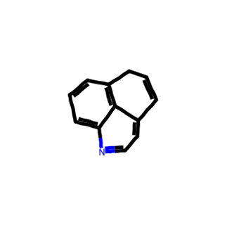 C1=Cc2ccnc3cccc(c23)C1